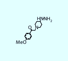 COc1ccc(C(=O)CN2CCC(NN)CC2)cc1